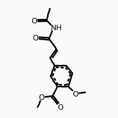 COC(=O)c1cc(C=CC(=O)NC(C)=O)ccc1OC